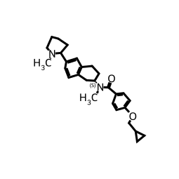 CN1CCCCC1c1ccc2c(c1)CC[C@H](N(C)C(=O)c1ccc(OCC3CC3)cc1)C2